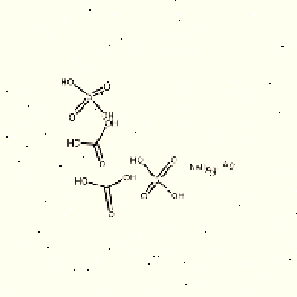 O=C(O)O.O=C(O)O.O=S(=O)(O)O.O=S(=O)(O)O.[Ag].[Ag].[NaH]